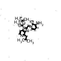 CC(C)Cc1nccc2c1nc(Cn1cccc(N)c1=O)n2C(=O)OC(C)(C)C